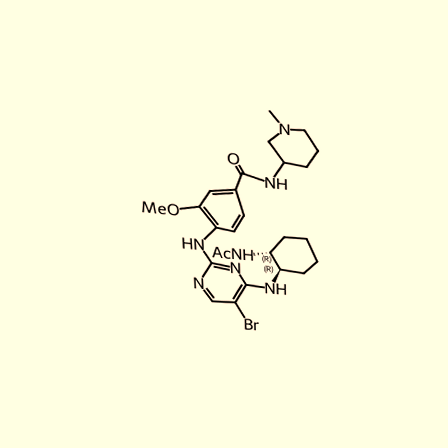 COc1cc(C(=O)NC2CCCN(C)C2)ccc1Nc1ncc(Br)c(N[C@@H]2CCCC[C@H]2NC(C)=O)n1